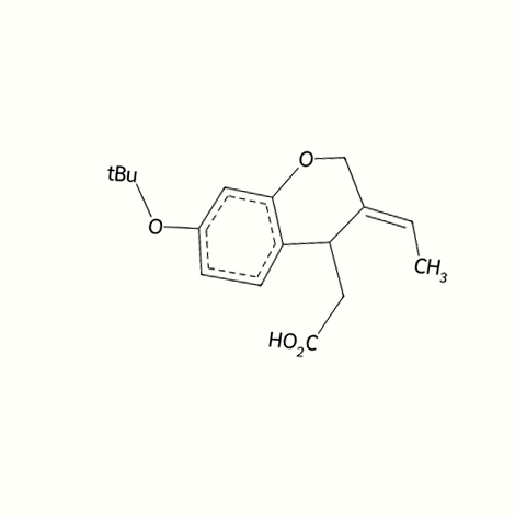 CC=C1COc2cc(OC(C)(C)C)ccc2C1CC(=O)O